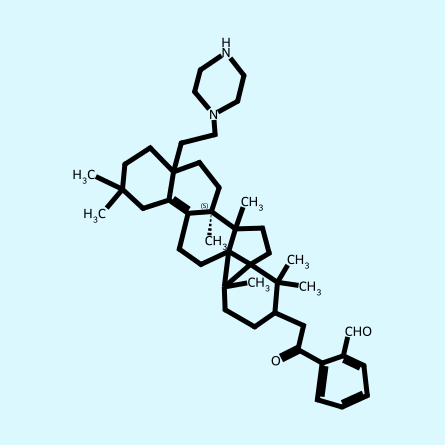 CC1(C)CCC2(CCN3CCNCC3)CC[C@]3(C)C(=C2C1)CCC12C4(C)CCC(CC(=O)c5ccccc5C=O)C(C)(C)C41CCC23C